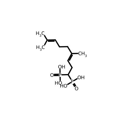 CC(C)=CCCC(C)=CCC(P(=O)(O)O)P(=O)(O)O